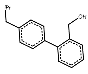 CC(C)Cc1ccc(-c2ccccc2CO)cc1